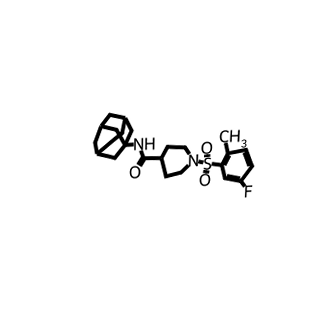 Cc1ccc(F)cc1S(=O)(=O)N1CCC(C(=O)NC23CC4CC(CC(C4)C2)C3)CC1